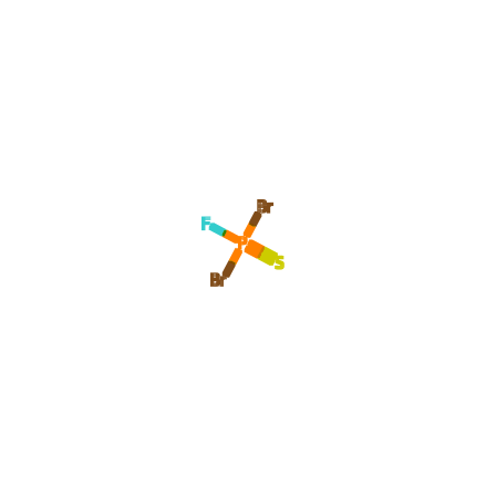 FP(=S)(Br)Br